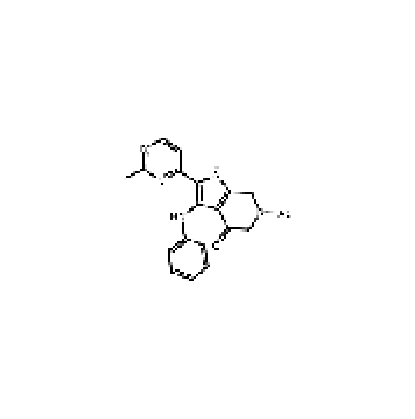 CC(=O)N1CC(=O)c2c([nH]c(-c3ccnc(C)n3)c2Nc2ccccc2)C1